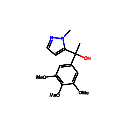 COc1cc(C(C)(O)c2ccnn2C)cc(OC)c1OC